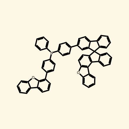 c1ccc(N(c2ccc(-c3ccc4c(c3)C3(c5ccccc5-4)c4ccccc4-c4c3ccc3oc5ccccc5c43)cc2)c2ccc(-c3cccc4c3oc3ccccc34)cc2)cc1